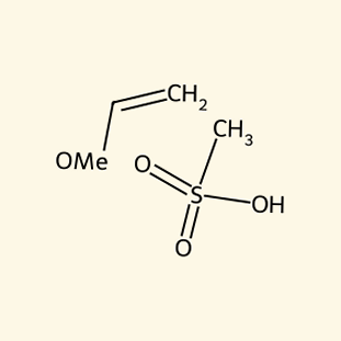 C=COC.CS(=O)(=O)O